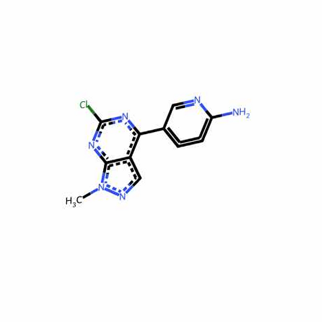 Cn1ncc2c(C3=C=C=C(N)N=C3)nc(Cl)nc21